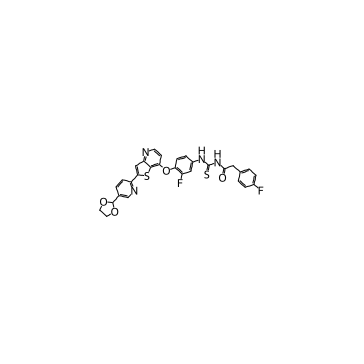 O=C(Cc1ccc(F)cc1)NC(=S)Nc1ccc(Oc2ccnc3cc(-c4ccc(C5OCCO5)cn4)sc23)c(F)c1